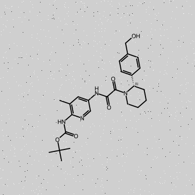 Cc1cc(NC(=O)C(=O)N2CCCC[C@H]2c2ccc(CO)cc2)cnc1NC(=O)OC(C)(C)C